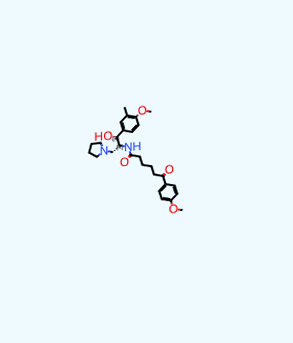 COc1ccc(C(=O)CCCCC(=O)N[C@H](CN2CCCC2)[C@H](O)c2ccc(OC)c(C)c2)cc1